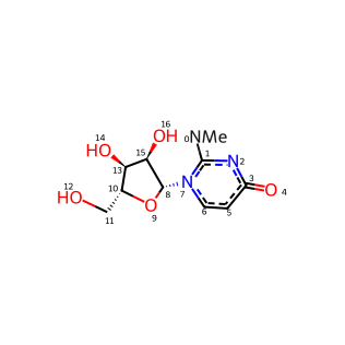 CNc1nc(=O)ccn1[C@@H]1O[C@H](CO)[C@@H](O)[C@H]1O